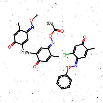 CC1=C/C(=N/Oc2ccccc2)C(Cl)=CC1=O.CC1=CC(=O)C(C(C)C)=C/C1=N\OC(=O)C(C)(C)C.CCO/N=C1/C=C(C(C)C)C(=O)C=C1C